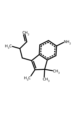 C=CC(C)CC1=C(C)C(C)(C)c2cc(N)ccc21